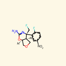 NC1=N[C@](CF)(c2cc([N+](=O)[O-])ccc2F)[C@H]2COC[C@H]2O1